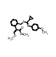 COC=C(C(=O)OC)c1ccccc1CSC(=Nc1ccc(OC)cc1)C1CC1